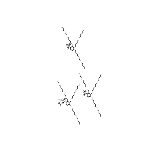 CC(C)[O][Ti+3].CCCCCCCCCCCCc1ccc(S(=O)(=O)[O-])c(CCCCCCCCCCCC)c1CCCCCCCCCCCC.CCCCCCCCCCCCc1ccc(S(=O)(=O)[O-])c(CCCCCCCCCCCC)c1CCCCCCCCCCCC.CCCCCCCCCCCCc1ccc(S(=O)(=O)[O-])c(CCCCCCCCCCCC)c1CCCCCCCCCCCC